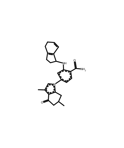 Cc1cn(-c2ccc(C(N)=O)c(NC3CCC4=C3C=CCC4)c2)c2c1C(=O)CC(C)C2